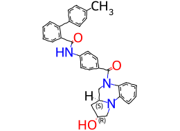 Cc1ccc(-c2ccccc2C(=O)Nc2ccc(C(=O)N3C[C@@H]4C[C@@H](O)CN4c4ccccc43)cc2)cc1